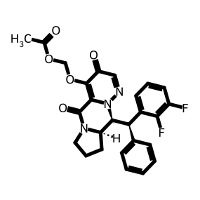 CC(=O)OCOc1c2n(ncc1=O)[C@@H]([C@H](c1ccccc1)c1cccc(F)c1F)[C@H]1CCCN1C2=O